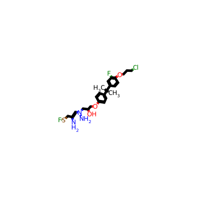 CC(C)(c1ccc(OCC(O)CN(N)/C=C(\N)CSF)cc1)c1ccc(OCCCCl)c(F)c1